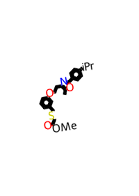 COC(=O)CSCc1cccc(OCCc2nc(-c3ccc(C(C)C)cc3)oc2C)c1